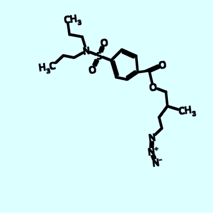 CCCN(CCC)S(=O)(=O)c1ccc(C(=O)OCC(C)CCN=[N+]=[N-])cc1